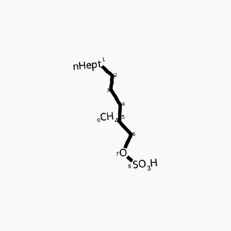 C.CCCCCCCCCCCCOS(=O)(=O)O